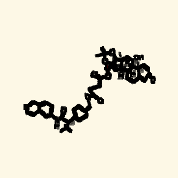 CN(C)[C@@H](C(=O)Nc1ccc2cnccc2c1)c1ccc(COC(=O)CCC(=O)OCC(O)[C@@]23OC(C)(C)O[C@@H]2C[C@H]2[C@@H]4CCC5=CC(=O)C=C[C@]5(C)[C@@]4(F)[C@@H](O)C[C@@]23C)cc1